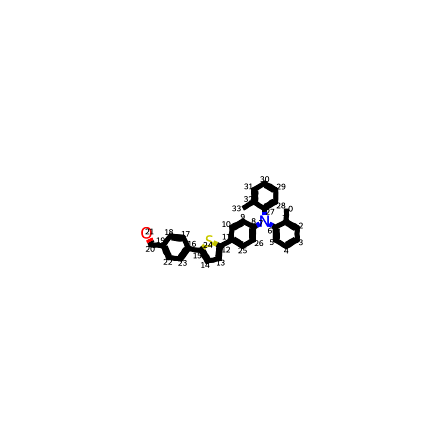 Cc1ccccc1N(c1ccc(-c2ccc(-c3ccc(C=O)cc3)s2)cc1)c1ccccc1C